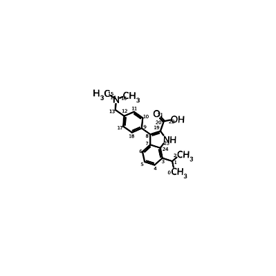 CC(C)c1cccc2c(-c3ccc(CN(C)C)cc3)c(C(=O)O)[nH]c12